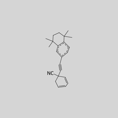 CC1(C)CCC(C)(C)c2cc(C#CC3(C#N)C=CC=CC3)ccc21